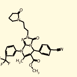 COC(=O)C1=C(C)N(c2cccc(C(F)(F)F)c2)c2nn(CCCN3CCCC3=O)c(=O)n2C1c1ccc(C#N)cc1